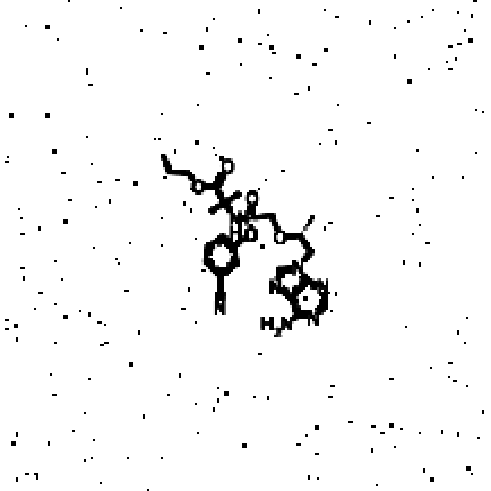 CCCOC(=O)C(C)(C)NP(=O)(CO[C@H](C)Cn1cnc2c(N)ncnc21)Oc1cccc(C#N)c1